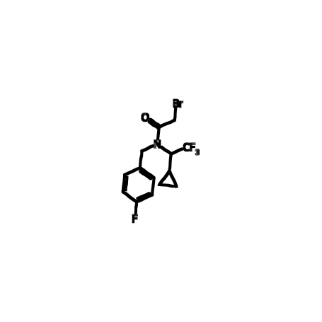 O=C(CBr)N(Cc1ccc(F)cc1)C(C1CC1)C(F)(F)F